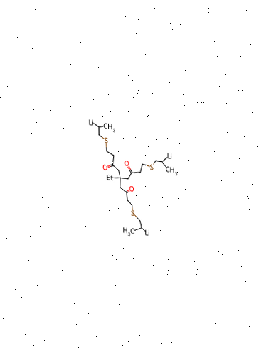 [Li][CH](C)CSCCC(=O)CC(CC)(CC(=O)CCSC[CH]([Li])C)CC(=O)CCSC[CH]([Li])C